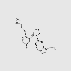 CNCCOc1ncc(F)cc1[C@H]1CCCN1c1ccn2ncc(N)c2n1